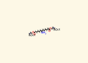 CCCCCCCC/C=C\COC(=O)CCCCCC(N)CCCCCC(=O)OC/C=C\CCCCCCCC